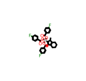 CC1=[C]([Ti]([O]C(=O)c2ccc(F)cc2)([O]C(=O)c2ccc(F)cc2)[O]C(=O)c2ccc(F)cc2)C(C)C2=C1CCCC2